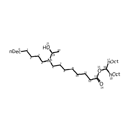 CCCCCCCCCCCCCCN(CCCCCCCC(=O)OC(CCCCCCCC)CCCCCCCC)C(C)O